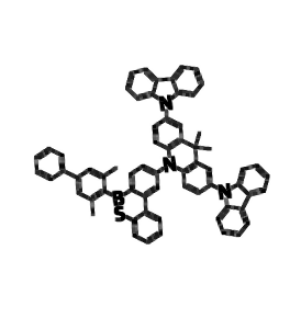 Cc1cc(-c2ccccc2)cc(C)c1B1Sc2ccccc2-c2cc(N3c4ccc(-n5c6ccccc6c6ccccc65)cc4C(C)(C)c4cc(-n5c6ccccc6c6ccccc65)ccc43)ccc21